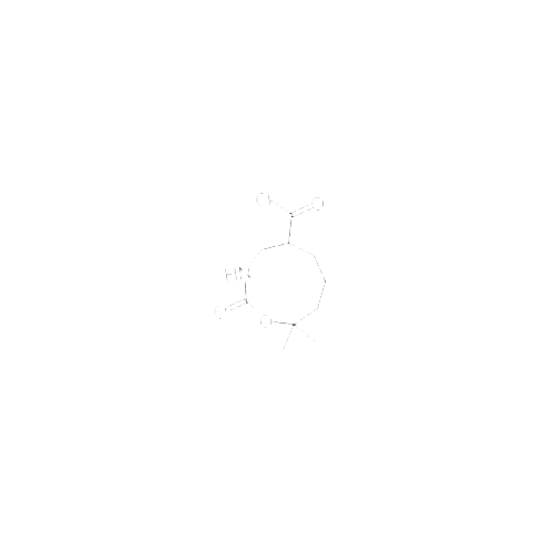 CC1(C)CCCC(C(=O)Cl)CNC(=O)O1